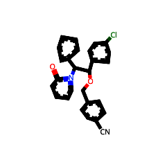 N#Cc1ccc(COC(c2ccc(Cl)cc2)C(c2ccccc2)n2ccccc2=O)cc1